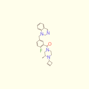 C[C@H]1CN(C(=O)c2cc(CN3CN=Cc4ccccc43)ccc2F)CCN1C1C=CC1